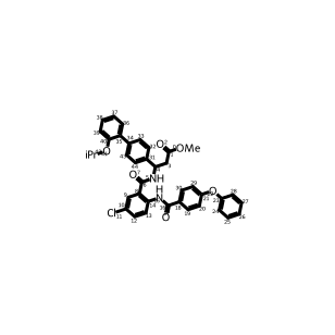 COC(=O)CC(NC(=O)c1cc(Cl)ccc1NC(=O)c1ccc(Oc2ccccc2)cc1)c1ccc(-c2ccccc2OC(C)C)cc1